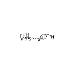 N#CCN1CCN(SCCCSNSC(F)(F)F)CC1